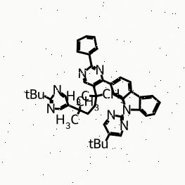 CC(C)(C)c1cnc(-n2c3ccccc3c3ccc(-c4nc(-c5ccccc5)ncc4C(C)(C)CCC(C)(C)c4cnc(C(C)(C)C)nc4)cc32)nc1